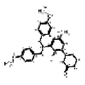 COc1ccc(CN(Cc2ccc(OC)cc2)c2cc(C)cc(C3CCCC(=O)C3)c2F)cc1